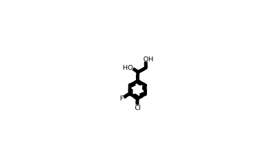 OCC(O)c1ccc(Cl)c(F)c1